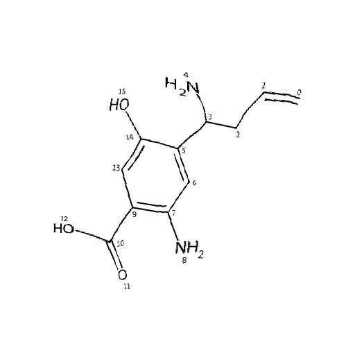 C=CCC(N)c1cc(N)c(C(=O)O)cc1O